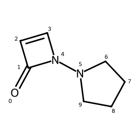 O=C1C=CN1N1CCCC1